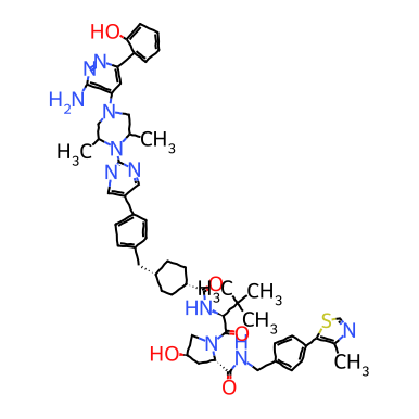 Cc1ncsc1-c1ccc(CNC(=O)[C@@H]2C[C@@H](O)CN2C(=O)[C@@H](NC(=O)[C@H]2CC[C@@H](Cc3ccc(-c4cnc(N5C(C)CN(c6cc(-c7ccccc7O)nnc6N)CC5C)nc4)cc3)CC2)C(C)(C)C)cc1